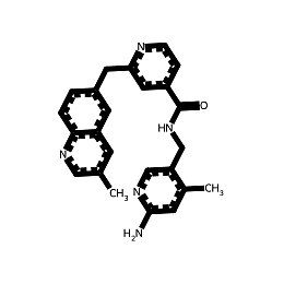 Cc1cnc2ccc(Cc3cc(C(=O)NCc4cnc(N)cc4C)ccn3)cc2c1